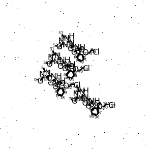 COc1nc(C)nc(NC(=O)NS(=O)(=O)c2ccccc2OCCCl)n1.COc1nc(C)nc(NC(=O)NS(=O)(=O)c2ccccc2OCCCl)n1.COc1nc(C)nc(NC(=O)NS(=O)(=O)c2ccccc2OCCCl)n1.COc1nc(C)nc(NC(=O)NS(=O)(=O)c2ccccc2OCCCl)n1